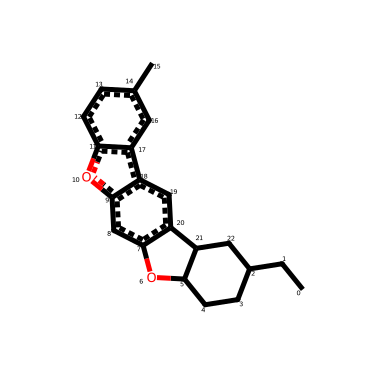 CCC1CCC2Oc3cc4oc5ccc(C)cc5c4cc3C2C1